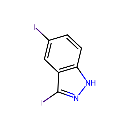 Ic1ccc2[nH]nc(I)c2c1